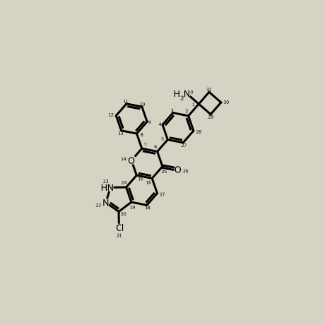 NC1(c2ccc(-c3c(-c4ccccc4)oc4c(ccc5c(Cl)n[nH]c54)c3=O)cc2)CCC1